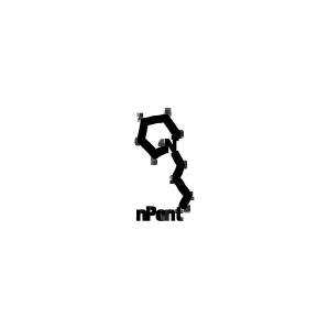 CCCCCCCCN1CCCCC1